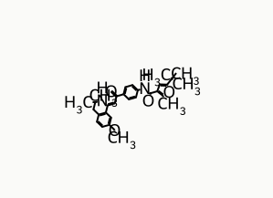 COc1ccc2c(c1)C(=CC(=O)c1ccc(NC(=O)c3cc(C(C)(C)C)oc3C)cc1)NC(C)(C)C2